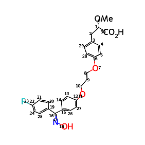 CO[C@@H](Cc1ccc(OCCCOc2ccc(/C(=N\O)c3ccc(F)cc3)cc2)cc1)C(=O)O